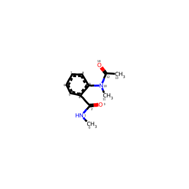 CNC(=O)c1ccccc1N(C)C(C)=O